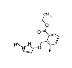 CCOC(=O)c1cccc(F)c1COc1ccn(S)n1